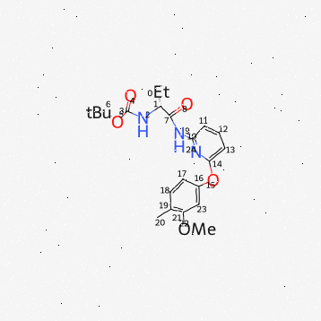 CC[C@@H](NC(=O)OC(C)(C)C)C(=O)Nc1cccc(Oc2ccc(C)c(OC)c2)n1